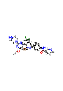 CCOc1nc(N2CCNCC2)nc2c1sc1nc(-c3ccc(NC(=O)c4cccnc4)cc3)cc(C(F)(F)F)c12